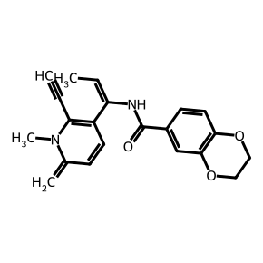 C#CC1=C(/C(=C\C)NC(=O)c2ccc3c(c2)OCCO3)C=CC(=C)N1C